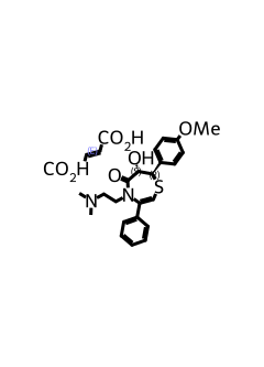 COc1ccc([C@H]2SC=C(c3ccccc3)N(CCN(C)C)C(=O)[C@@H]2O)cc1.O=C(O)/C=C/C(=O)O